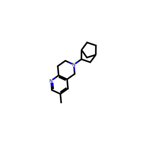 Cc1cnc2c(c1)CN(C1CC3CCC1C3)CC2